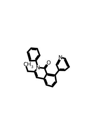 CCc1cc2cccc(-c3cccnc3)c2c(=O)n1-c1ccccc1